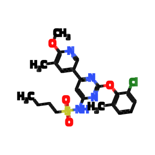 CCCCS(=O)(=O)Nc1cc(-c2cnc(OC)c(C)c2)nc(Oc2c(C)cccc2Cl)n1